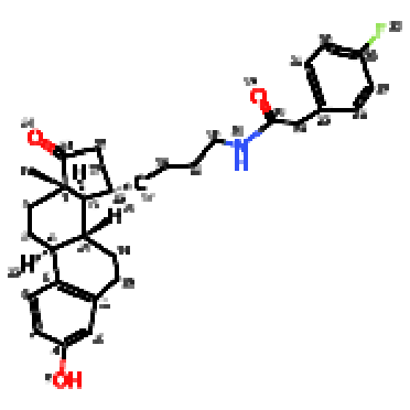 C[C@]12CC[C@@H]3c4ccc(O)cc4CC[C@H]3[C@@H]1[C@@H](CCCCNC(=O)Cc1ccc(F)cc1)CC2=O